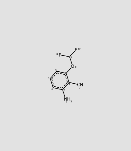 N#Cc1c(N)cccc1OC(F)F